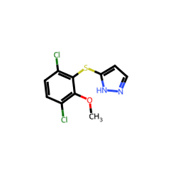 COc1c(Cl)ccc(Cl)c1Sc1ccn[nH]1